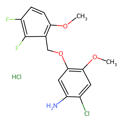 COc1cc(Cl)c(N)cc1OCc1c(OC)ccc(F)c1F.Cl